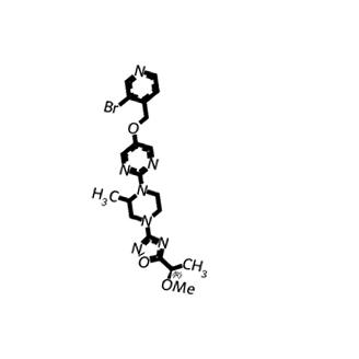 CO[C@H](C)c1nc(N2CCN(c3ncc(OCc4ccncc4Br)cn3)C(C)C2)no1